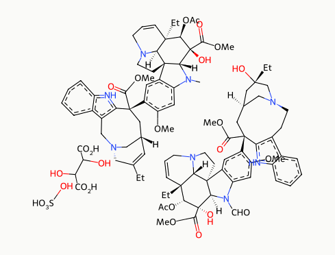 CCC1=C[C@@H]2C[N@](C1)Cc1c([nH]c3ccccc13)[C@@](C(=O)OC)(c1cc3c(cc1OC)N(C)[C@H]1[C@@](O)(C(=O)OC)[C@H](OC(C)=O)[C@]4(CC)C=CCN5CC[C@]31[C@@H]54)C2.CC[C@]1(O)C[C@H]2C[N@](CCc3c([nH]c4ccccc34)[C@@](C(=O)OC)(c3cc4c(cc3OC)N(C=O)[C@H]3[C@@](O)(C(=O)OC)[C@H](OC(C)=O)[C@]5(CC)C=CCN6CC[C@]43[C@@H]65)C2)C1.O=C(O)C(O)C(O)C(=O)O.O=S(=O)(O)O